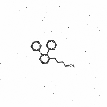 C=CCCCc1cccc(-c2ccccc2)c1-c1ccccc1